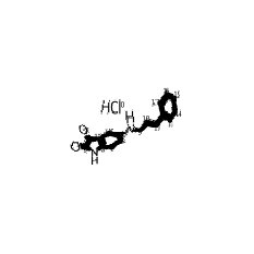 Cl.O=C1Nc2ccc(NCCCc3ccccc3)cc2C1=O